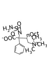 CCCCCCCCC(C[N+](C)(C)C)C(NS(N)(=O)=O)(C(=O)[O-])c1ccccc1